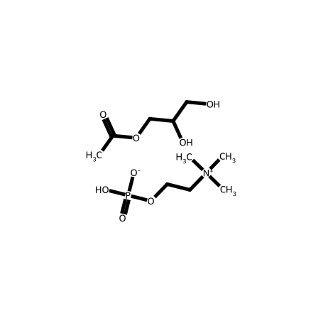 CC(=O)OCC(O)CO.C[N+](C)(C)CCOP(=O)([O-])O